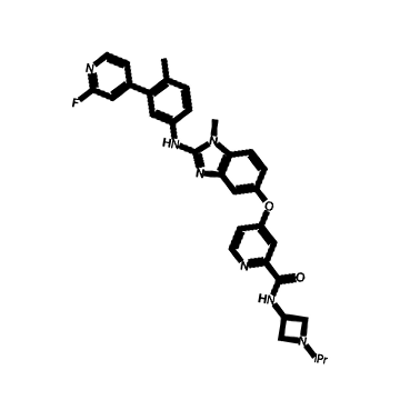 Cc1ccc(Nc2nc3cc(Oc4ccnc(C(=O)NC5CN(C(C)C)C5)c4)ccc3n2C)cc1-c1ccnc(F)c1